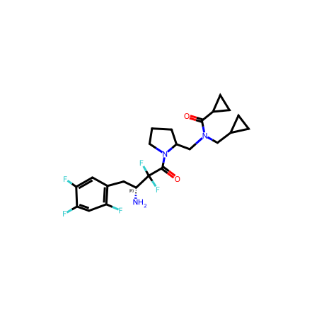 N[C@H](Cc1cc(F)c(F)cc1F)C(F)(F)C(=O)N1CCCC1CN(CC1CC1)C(=O)C1CC1